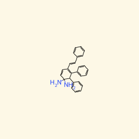 NC1(N)C=CC(C=Cc2ccccc2)=C(c2ccccc2)C1c1ccccc1